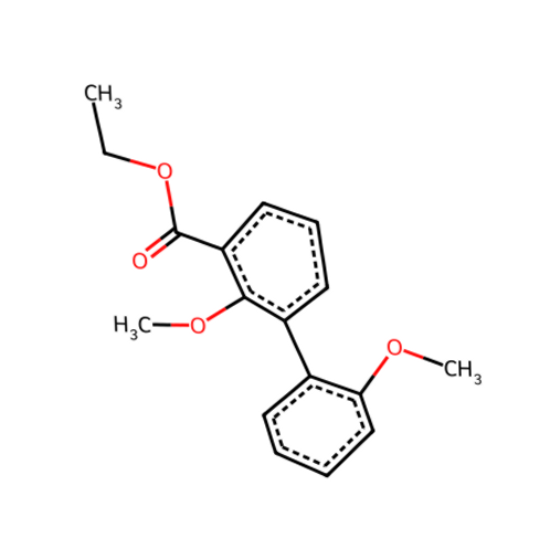 CCOC(=O)c1cccc(-c2ccccc2OC)c1OC